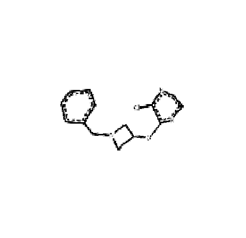 Clc1nccnc1OC1CN(Cc2ccccc2)C1